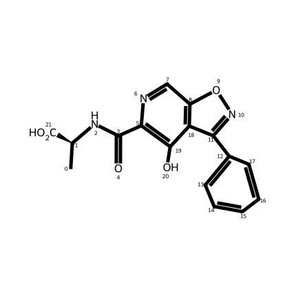 C[C@H](NC(=O)c1ncc2onc(-c3ccccc3)c2c1O)C(=O)O